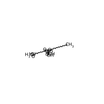 CCCCCCCCCCCCCCCC(=O)O[C@H](COC(=O)CCCCCCCCCNC(C)=O)COP(=O)(O)O